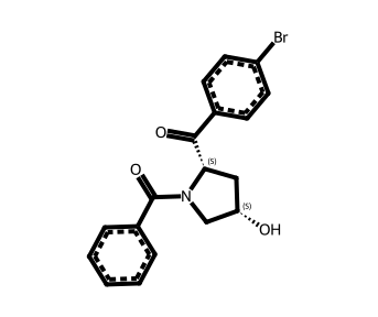 O=C(c1ccc(Br)cc1)[C@@H]1C[C@H](O)CN1C(=O)c1ccccc1